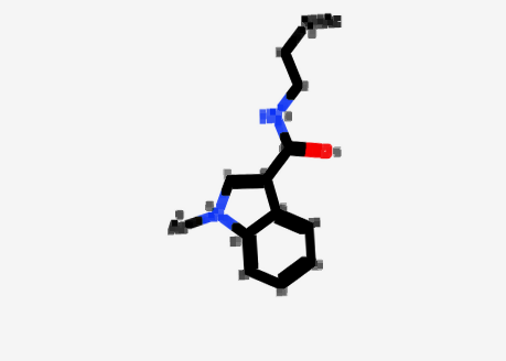 CC(=O)NCCNC(=O)c1cn(C(C)=O)c2ccccc12